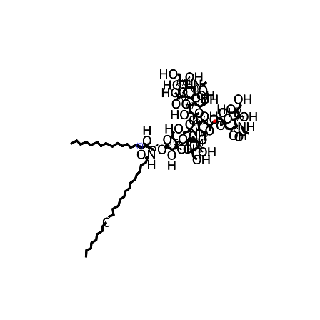 CCCCCCCCCCCCC/C=C/[C@@H](O)[C@H](CO[C@@H]1OC(CO)[C@@H](O[C@@H]2OC(CO)[C@H](O)[C@H](O[C@@H]3OC(CO[C@]4(C(=O)O)CC(O)[C@@H](NC(C)=O)C([C@H](O)[C@H](O)CO)O4)[C@@H](O)[C@H](O[C@@H]4OC(CO)[C@H](O)[C@H](O[C@]5(C(=O)O)CC(O)[C@@H](NC(C)=O)C([C@H](O)[C@H](O)CO)O5)C4O)C3NC(C)=O)C2O)[C@H](O)C1O)NC(=O)CCCCCCCCCCCCCCCCCCCCCCC